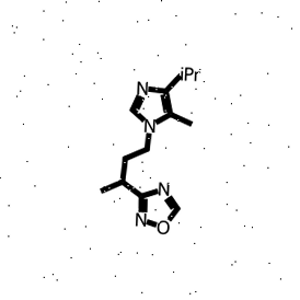 Cc1c(C(C)C)ncn1CCC(C)c1ncon1